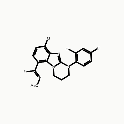 CCC(=NOC)c1ccc(Cl)c2nc3n(c12)CCCN3c1ccc(Cl)cc1Cl